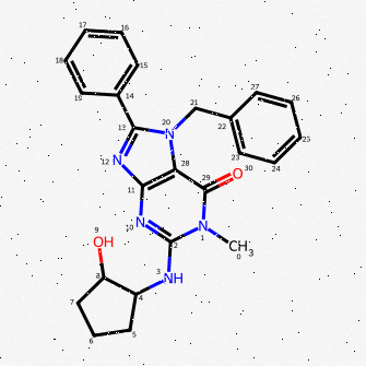 Cn1c(NC2CCCC2O)nc2nc(-c3ccccc3)n(Cc3ccccc3)c2c1=O